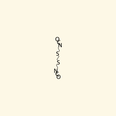 O=C=NCCSCCSCCN=C=O